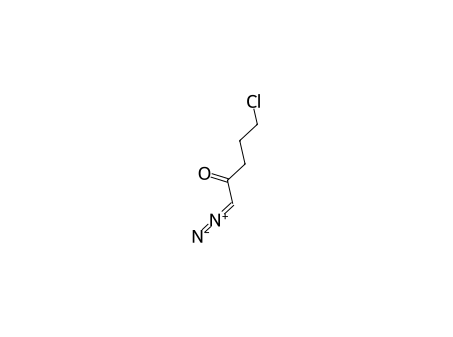 [N-]=[N+]=CC(=O)CCCCl